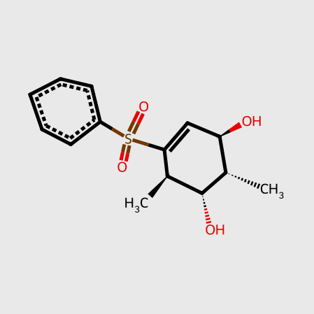 C[C@@H]1[C@H](O)[C@@H](C)C(S(=O)(=O)c2ccccc2)=C[C@H]1O